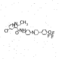 CCc1nn2ccc(Cl)cc2c1C(=O)NCc1ccc(N2CCC(c3ccc(OC(F)(F)F)cc3)CC2)cc1